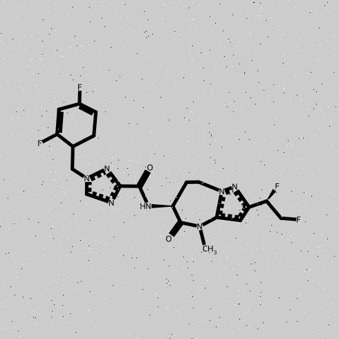 CN1C(=O)[C@@H](NC(=O)c2ncn(CC3CC=C(F)C=C3F)n2)CCn2nc([C@@H](F)CF)cc21